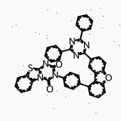 O=c1nc2sc3ccccc3n2c(=O)n1-c1ccc(-c2cccc3oc4ccc(-c5nc(-c6ccccc6)nc(-c6ccccc6)n5)cc4c23)cc1